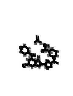 CC(C1CSC(c2cc3cc(Cl)cc(NC4CCOCC4)c3[nH]2)=N1)N1CCC[C@H](C(=O)O)C1.CNC